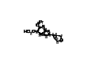 CC(C)Oc1nc2nc(C3C4COCC43)cn2cc1C(=O)O